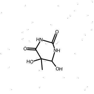 CC1(O)C(=O)NC(=O)NC1O